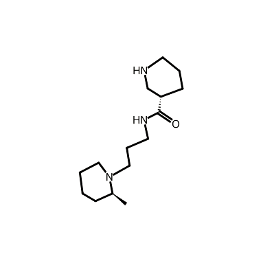 C[C@H]1CCCCN1CCCNC(=O)[C@H]1CCCNC1